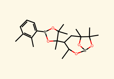 Cc1cccc(B2OC(C)(C)C(C)(C3CC4(C)OB(OC3C)OC4(C)C)O2)c1C